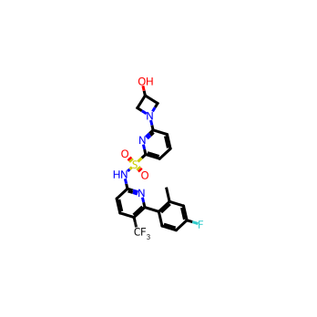 Cc1cc(F)ccc1-c1nc(NS(=O)(=O)c2cccc(N3CC(O)C3)n2)ccc1C(F)(F)F